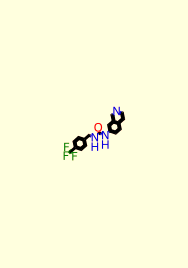 O=C(NCc1ccc(C(F)(F)F)cc1)Nc1ccc2ccncc2c1